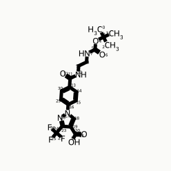 CC(C)(C)OC(=O)NCCNC(=O)c1ccc(-n2cc(C(=O)O)c(C(F)(F)F)n2)cc1